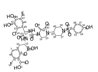 O=C(O)c1c(F)ccc2c1OB(O)[C@@H](NC(=O)C(NC(=O)N1CCN(C3CCN(S(=O)(=O)c4ccc(O)cc4)CC3)C(=O)C1=O)c1cc(F)c(O)c(O)c1Cl)C2